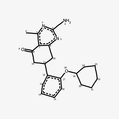 Cc1nc(N)nc2c1C(=O)CC(c1ccccc1OC1CCCCC1)C2